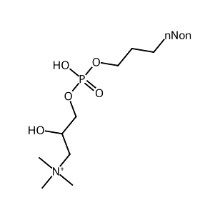 CCCCCCCCCCCCOP(=O)(O)OCC(O)C[N+](C)(C)C